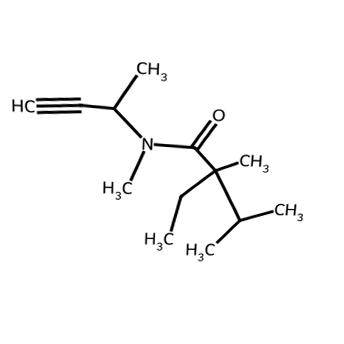 C#CC(C)N(C)C(=O)C(C)(CC)C(C)C